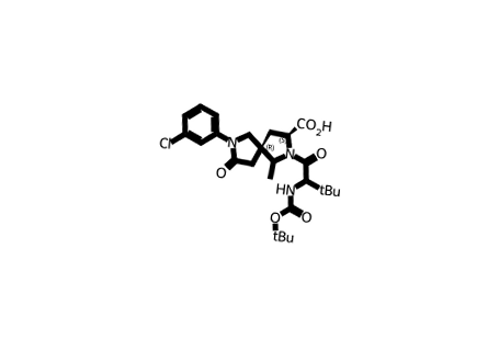 CC1N(C(=O)C(NC(=O)OC(C)(C)C)C(C)(C)C)[C@H](C(=O)O)C[C@]12CC(=O)N(c1cccc(Cl)c1)C2